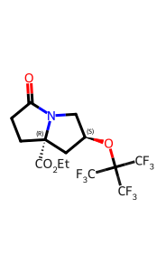 CCOC(=O)[C@]12CCC(=O)N1C[C@@H](OC(C(F)(F)F)(C(F)(F)F)C(F)(F)F)C2